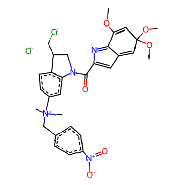 COC1=CC(OC)(OC)C=C2C=C(C(=O)N3CC(CCl)c4ccc([N+](C)(C)Cc5ccc([N+](=O)[O-])cc5)cc43)N=C21.[Cl-]